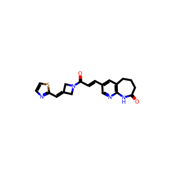 O=C1CCCc2cc(/C=C/C(=O)N3CC(=Cc4nccs4)C3)cnc2N1